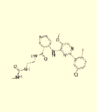 CNC(=O)NCCNC(=O)c1cnccc1Nc1nc(-c2cc(Cl)ccc2F)ncc1OC